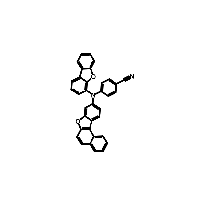 N#Cc1ccc(N(c2ccc3c(c2)oc2ccc4ccccc4c23)c2cccc3c2oc2ccccc23)cc1